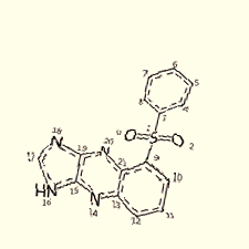 O=S(=O)(c1ccccc1)c1cccc2nc3[nH]cnc3nc12